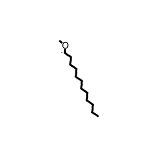 CCCCCCCCCCC[CH]OC